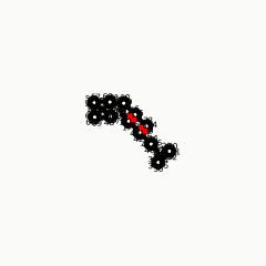 c1ccc(-c2ccc(-c3ccccc3N(c3ccc(-c4ccc(-c5ccc(-n6c7ccccc7c7ccccc76)cc5)cc4)cc3)c3ccc4c(c3)C3(c5ccccc5-c5ccccc53)c3ccccc3-4)cc2)cc1